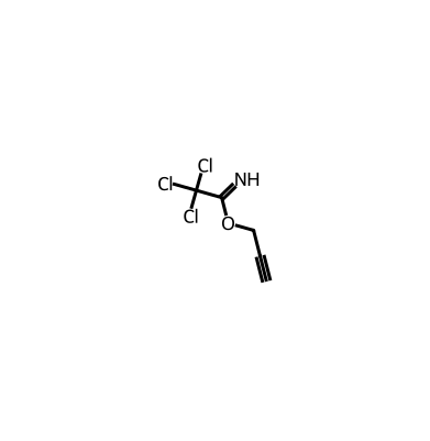 C#CCOC(=N)C(Cl)(Cl)Cl